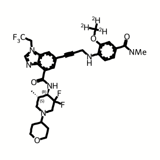 [2H]C([2H])([2H])Oc1cc(C(=O)NC)ccc1NCC#Cc1cc(C(=O)N[C@@H]2[C@@H](C)CN(C3CCOCC3)CC2(F)F)c2ncn(CC(F)(F)F)c2c1